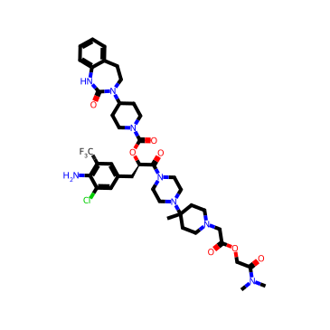 CN(C)C(=O)COC(=O)CN1CCC(C)(N2CCN(C(=O)[C@@H](Cc3cc(Cl)c(N)c(C(F)(F)F)c3)OC(=O)N3CCC(N4CCc5ccccc5NC4=O)CC3)CC2)CC1